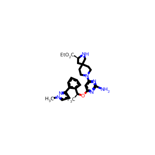 CCOC(=O)[C@@H]1CC2(CCN(c3cc(O[C@H](c4ccccc4-c4ccn(C)n4)C(F)(F)F)nc(N)n3)CC2)CN1